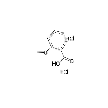 COc1ccccc1C(=O)O.Cl.Cl